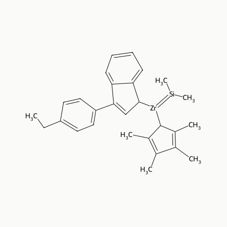 CCc1ccc(C2=C[CH]([Zr]([CH]3C(C)=C(C)C(C)=C3C)=[Si](C)C)c3ccccc32)cc1